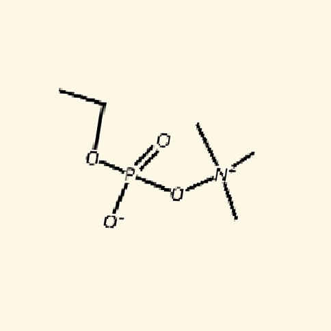 CCOP(=O)([O-])O[N+](C)(C)C